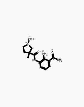 CC1(C(=O)Nc2cccc(C(N)=O)c2N)CCN(C(=O)O)C1